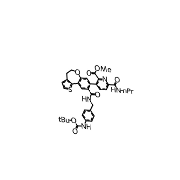 CCCNC(=O)c1ccc(-c2cc3c(cc2C(=O)NCc2ccc(NC(=O)OC(C)(C)C)cc2)-c2sccc2CCO3)c(C(=O)OC)n1